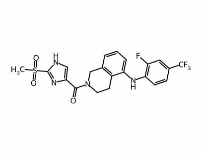 CS(=O)(=O)c1nc(C(=O)N2CCc3c(cccc3Nc3ccc(C(F)(F)F)cc3F)C2)c[nH]1